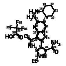 CCn1cc(-c2nn3cc([C@H]4CCCC[C@@H]4N)c(N)nc3c2C(N)=O)c(C(N)=O)n1.O=C(O)C(F)(F)F